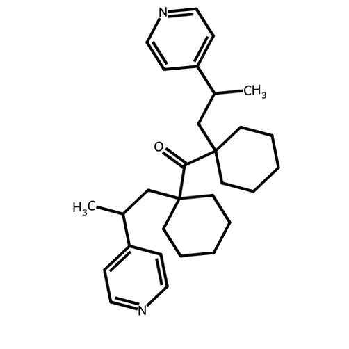 CC(CC1(C(=O)C2(CC(C)c3ccncc3)CCCCC2)CCCCC1)c1ccncc1